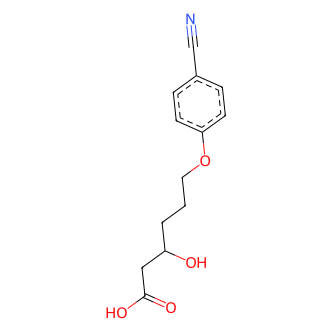 N#Cc1ccc(OCCCC(O)CC(=O)O)cc1